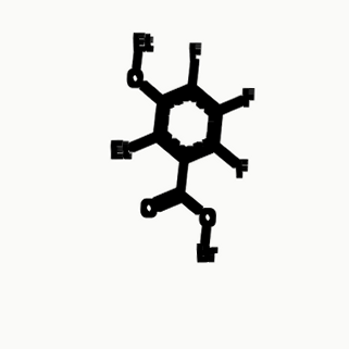 CCOc1c(F)c(F)c(F)c(C(=O)OBr)c1CC